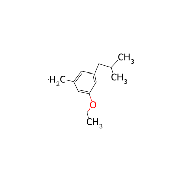 [CH2]c1cc(CC(C)C)cc(OCC)c1